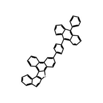 c1ccc(-c2c3ccccc3c(-c3ccc(-c4ccc5c(c4)c4ccccc4c4c5sc5ccc6ccccc6c54)cc3)c3ccccc23)cc1